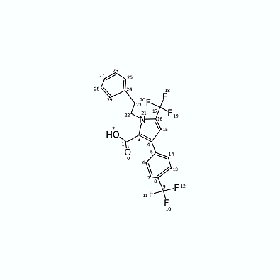 O=C(O)c1c(-c2ccc(C(F)(F)F)cc2)cc(C(F)(F)F)n1CCc1ccccc1